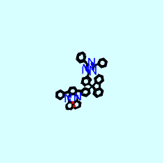 c1ccc(-c2nc(-c3ccccc3)nc(-c3cccc(C4(c5ccc6c(c5)c5ccc7c8ccccc8n(-c8ccccc8)c7c5n6-c5ccccc5)c5ccccc5-c5ccccc54)c3)n2)cc1